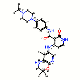 Cc1c(Nc2cc[nH]c(=O)c2C(=O)Nc2ccc(N3CCN(C(C)C)CC3)cc2)cnc2c1NCC(C)(C)O2